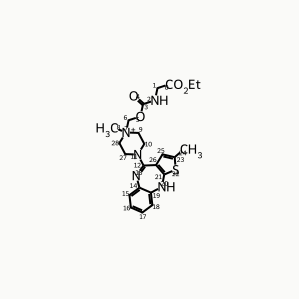 CCOC(=O)CNC(=O)OC[N+]1(C)CCN(C2=Nc3ccccc3Nc3sc(C)cc32)CC1